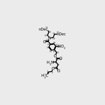 C=CCOC(=O)CC(N)C(=O)OCc1ccc(C(=O)N(CCCCCCCCCCCC)CCCCCCCCCCCC)cc1[N+](=O)[O-]